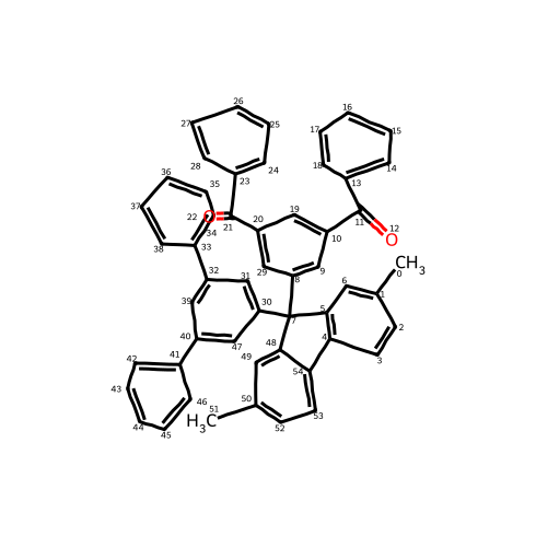 Cc1ccc2c(c1)C(c1cc(C(=O)c3ccccc3)cc(C(=O)c3ccccc3)c1)(c1cc(-c3ccccc3)cc(-c3ccccc3)c1)c1cc(C)ccc1-2